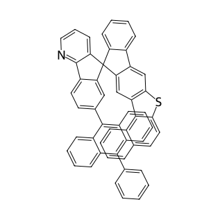 c1ccc(-c2c3ccccc3c(-c3ccc4c(c3)C3(c5ccccc5-c5cc6sc7ccc8ccccc8c7c6cc53)c3cccnc3-4)c3ccccc23)cc1